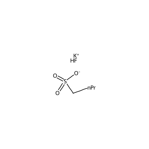 CCCCS(=O)(=O)[O-].F.[K+]